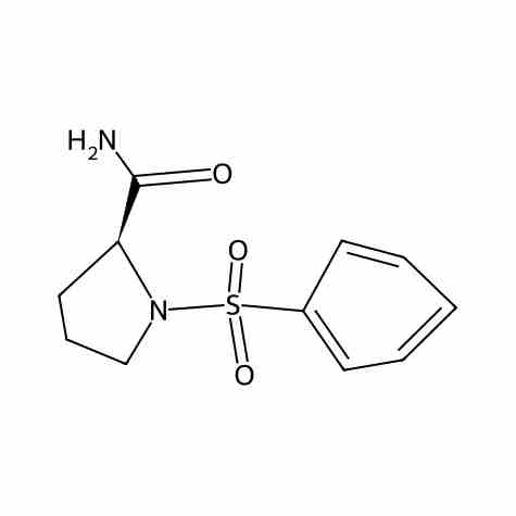 NC(=O)[C@@H]1CCCN1S(=O)(=O)c1ccccc1